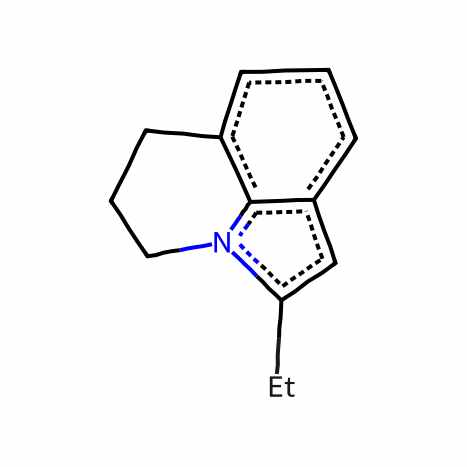 CCc1cc2cccc3c2n1CCC3